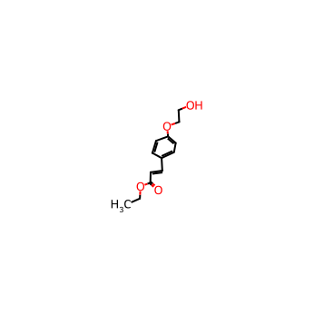 CCOC(=O)C=Cc1ccc(OCCO)cc1